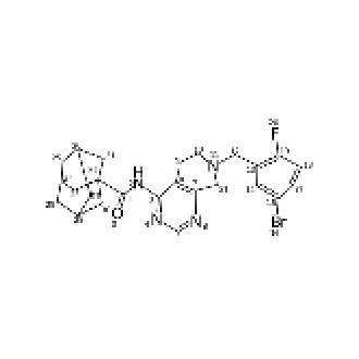 O=C(Nc1ncnc2c1CCN(Cc1cc(Br)ccc1F)C2)C12CC3CC(CC(C3)C1)C2